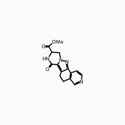 COC(=O)C1Cn2nc3c(c2C(=O)N1)CCc1cnccc1-3